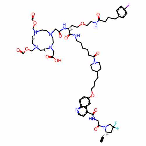 C#C[C@H]1CC(F)(F)CN1C(=O)CNC(=O)c1ccnc2ccc(OCCCCC3CCN(C(=O)CCCCCNC(=O)[C@H](CCOCCNC(=O)CCCc4ccc(I)cc4)NC(=O)CN4CCN(COC=O)CCN(COC=O)CCN(CC(=O)O)CC4)CC3)cc12